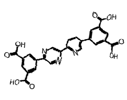 O=C(O)c1cc(C(=O)O)cc(-c2ccc(-c3cnc(-c4cc(C(=O)O)cc(C(=O)O)c4)cn3)nc2)c1